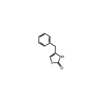 O=c1[nH]c(Cc2ccccc2)cs1